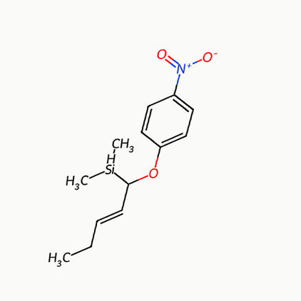 CCC=CC(Oc1ccc([N+](=O)[O-])cc1)[SiH](C)C